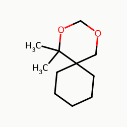 CC1(C)OCOCC12CCCCC2